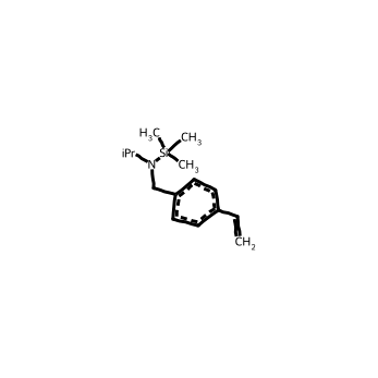 C=Cc1ccc(CN(C(C)C)[Si](C)(C)C)cc1